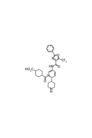 O=C(NC1=CN(C(=O)C2CCC(C(=O)O)CC2)C(C2CCNCC2)C=C1)c1nc(-c2ccccc2)oc1C(F)(F)F